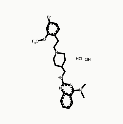 CN(C)c1nc(NCC2CCN(CCc3ccc(Br)cc3OC(F)(F)F)CC2)nc2ccccc12.Cl.Cl